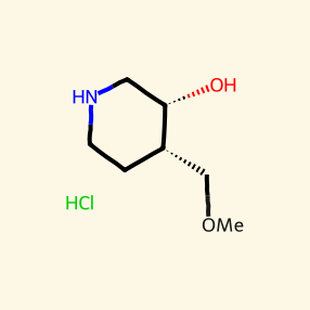 COC[C@@H]1CCNC[C@@H]1O.Cl